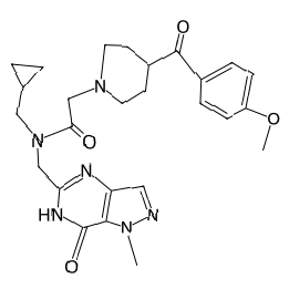 COc1ccc(C(=O)C2CCN(CC(=O)N(Cc3nc4cnn(C)c4c(=O)[nH]3)CC3CC3)CC2)cc1